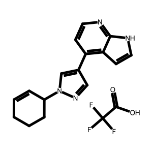 C1=CC(n2cc(-c3ccnc4[nH]ccc34)cn2)CCC1.O=C(O)C(F)(F)F